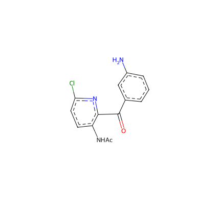 CC(=O)Nc1ccc(Cl)nc1C(=O)c1cccc(N)c1